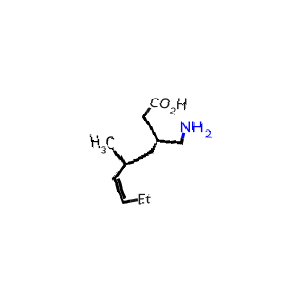 CC/C=C\C(C)C[C@H](CN)CC(=O)O